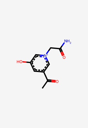 CC(=O)c1cc(O)c[n+](CC(N)=O)c1